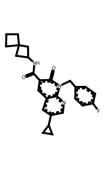 O=C(NC1CC2(CCC2)C1)c1cc2cc(C3CC3)cnc2n(Cc2ccc(F)cc2)c1=O